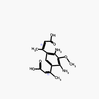 COc1c(N)c(/C(C)=C\C(=O)O)cc(/C(C)=C\C(=O)O)c1N